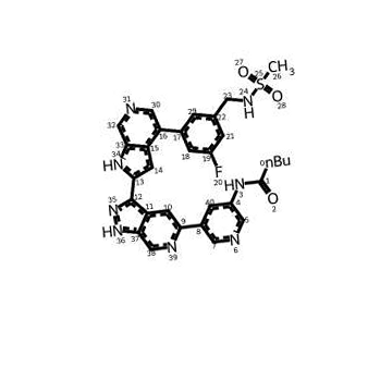 CCCCC(=O)Nc1cncc(-c2cc3c(-c4cc5c(-c6cc(F)cc(CNS(C)(=O)=O)c6)cncc5[nH]4)n[nH]c3cn2)c1